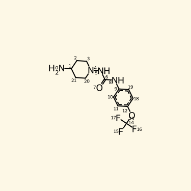 NC1CCN(NC(=O)Nc2ccc(OC(F)(F)F)cc2)CC1